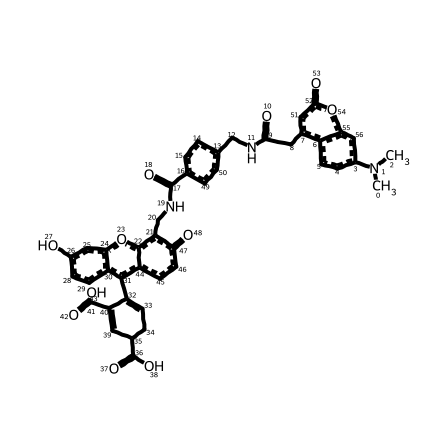 CN(C)c1ccc2c(CC(=O)NCc3ccc(C(=O)NCc4c5oc6cc(O)ccc6c(C6=CCC(C(=O)O)C=C6C(=O)O)c-5ccc4=O)cc3)cc(=O)oc2c1